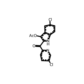 CC(=O)Oc1c(C(=O)c2ccc(Cl)cn2)[nH]c2ccc(Cl)cc12